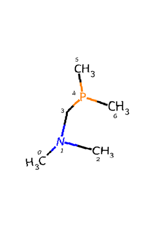 CN(C)CP(C)C